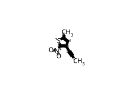 CC#Cc1cc(C)sc1[N+](=O)[O-]